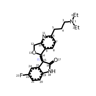 CCN(CC)CCCc1ccc2c(n1)CO/C2=C1/C(=O)Nc2ccc(F)cc21